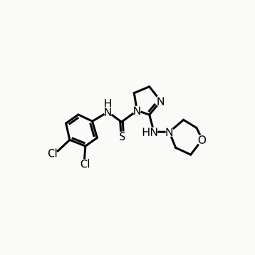 S=C(Nc1ccc(Cl)c(Cl)c1)N1CCN=C1NN1CCOCC1